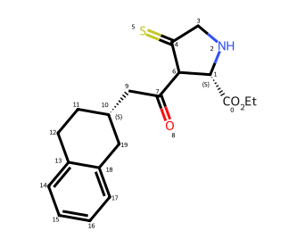 CCOC(=O)[C@H]1NCC(=S)C1C(=O)C[C@H]1CCc2ccccc2C1